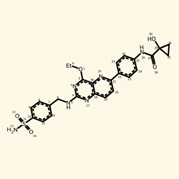 CCOc1nc(NCc2ccc(S(N)(=O)=O)cc2)nc2ccc(-c3ccc(NC(=O)C4(O)CC4)cc3)nc12